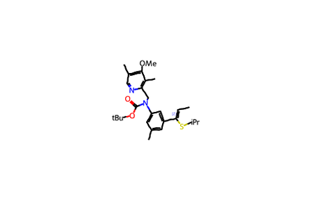 C/C=C(\SC(C)C)c1cc(C)cc(N(Cc2ncc(C)c(OC)c2C)C(=O)OC(C)(C)C)c1